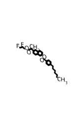 CCCCCCCc1ccc(C(=O)Oc2ccc3cc([C@H](C)C(=O)OC[C@@H](F)CF)ccc3c2)cc1